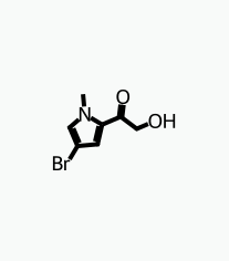 Cn1cc(Br)cc1C(=O)CO